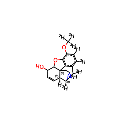 [2H]c1c([2H])c2c3c(c1OC([2H])([2H])[2H])OC1C(O)C=C[C@@H]4[C@@]31CCN(C)[C@]4([2H])C2([2H])[2H]